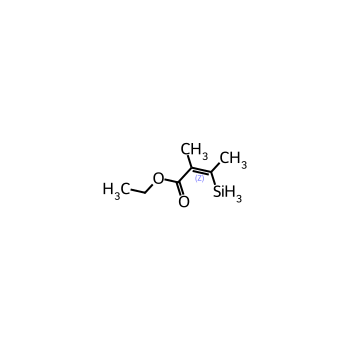 CCOC(=O)/C(C)=C(/C)[SiH3]